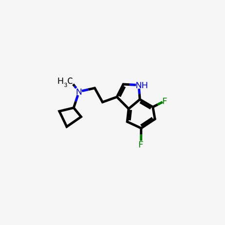 CN(CCc1c[nH]c2c(F)cc(F)cc12)C1CCC1